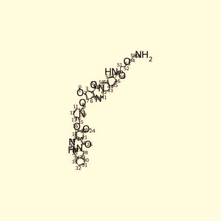 COc1cc2c(cc1OCc1cccc(COc3cc4c(cc3OC)C(=O)N3Cc5ccccc5C[C@H]3C=N4)n1)N=CC1Cc3ccc(NC(=O)CCOCCN)cc3CN1C2=O